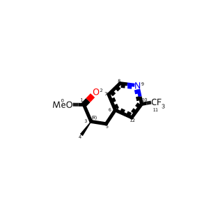 COC(=O)[C@H](C)Cc1ccnc(C(F)(F)F)c1